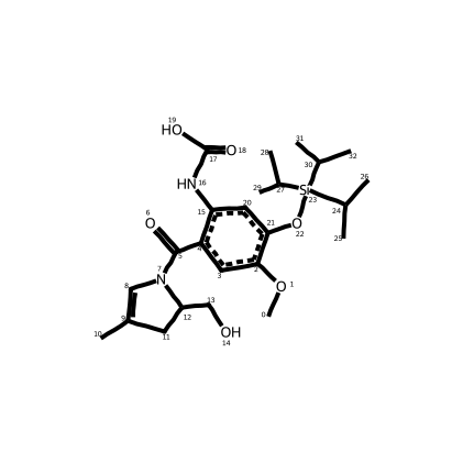 COc1cc(C(=O)N2C=C(C)CC2CO)c(NC(=O)O)cc1O[Si](C(C)C)(C(C)C)C(C)C